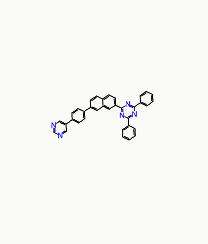 c1ccc(-c2nc(-c3ccccc3)nc(-c3ccc4ccc(-c5ccc(-c6cncnc6)cc5)cc4c3)n2)cc1